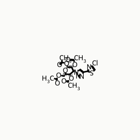 CC(=O)OC[C@H]1O[C@@H](OC(C)=O)[C@H](OC(C)=O)[C@@H](n2cc(-c3nc(Cl)cs3)nn2)[C@H]1OC(C)=O